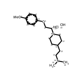 COc1ccc(OCCN2CCC(CCN(C)C)CC2)cc1.Cl.Cl